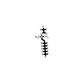 C[Si](C)(CCC(F)(F)C(F)(F)C(F)(F)C(F)(F)C(F)(F)F)OC(=O)C(F)(F)F